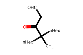 CCCCCCC(C)(CCCCCC)C(=O)CC=O